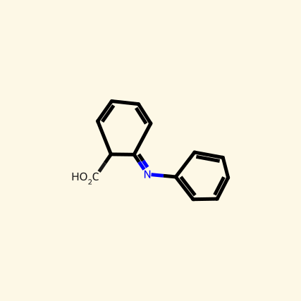 O=C(O)C1C=CC=CC1=Nc1ccccc1